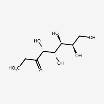 O=C(O)CC(=O)[C@H](O)[C@@H](O)[C@@H](O)[C@H](O)CO